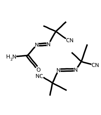 CC(C)(C#N)N=NC(C)(C)C#N.CC(C)(C#N)N=NC(N)=O